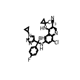 BC(Nc1cc(Cl)c2ncc(C#N)c(NC3(C)CC3)c2c1)(c1ccc(F)cc1)c1cn(C2CC2)nn1